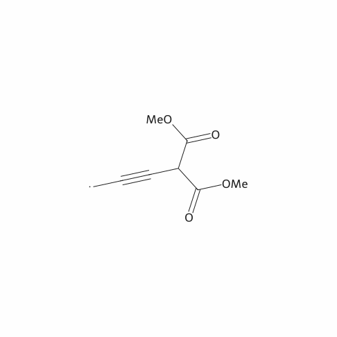 [CH2]C#CC(C(=O)OC)C(=O)OC